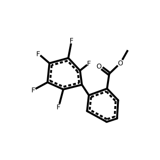 COC(=O)c1ccccc1-c1c(F)c(F)c(F)c(F)c1F